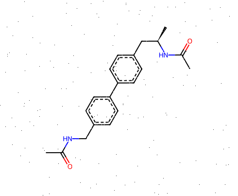 CC(=O)NCc1ccc(-c2ccc(C[C@@H](C)NC(C)=O)cc2)cc1